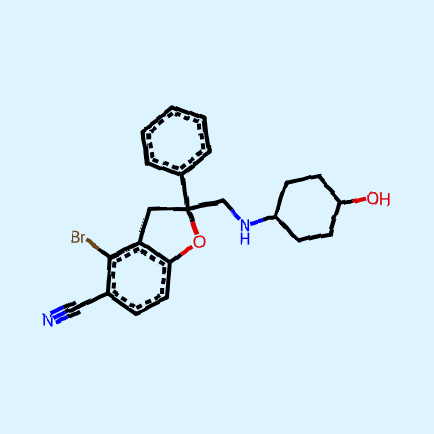 N#Cc1ccc2c(c1Br)CC(CNC1CCC(O)CC1)(c1ccccc1)O2